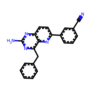 N#Cc1cccc(-c2ccc3nc(N)nc(Cc4ccccc4)c3n2)c1